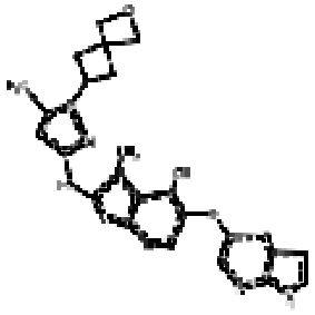 Cn1c(Nc2cc(C(F)(F)F)n(C3CC4(COC4)C3)n2)nc2ncc(Oc3cnc4[nH]ccc4c3)c(C#N)c21